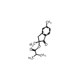 Cc1ccc2c(c1)CC(C)(OC(=O)C(C)C)C2=O